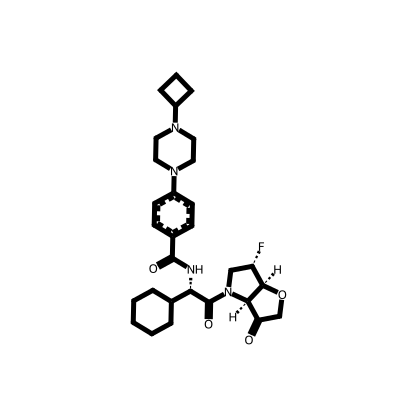 O=C(N[C@H](C(=O)N1C[C@H](F)[C@H]2OCC(=O)[C@H]21)C1CCCCC1)c1ccc(N2CCN(C3CCC3)CC2)cc1